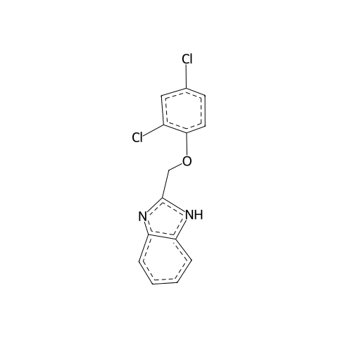 Clc1ccc(OCc2nc3ccccc3[nH]2)c(Cl)c1